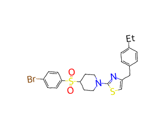 CCc1ccc(Cc2csc(N3CCC(S(=O)(=O)c4ccc(Br)cc4)CC3)n2)cc1